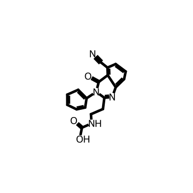 N#Cc1cccc2nc(CCNC(=O)O)n(-c3ccccc3)c(=O)c12